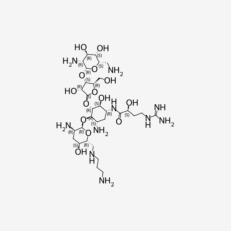 N=C(N)NCC[C@H](O)C(=O)N[C@@H]1C[C@H](N)[C@@H](O[C@H]2O[C@H](CNCCCN)[C@@H](O)C[C@H]2N)[C@H](O[C@@H]2O[C@H](CO)[C@@H](O[C@H]3O[C@@H](CN)[C@@H](O)[C@H](O)[C@H]3N)[C@H]2O)[C@H]1O